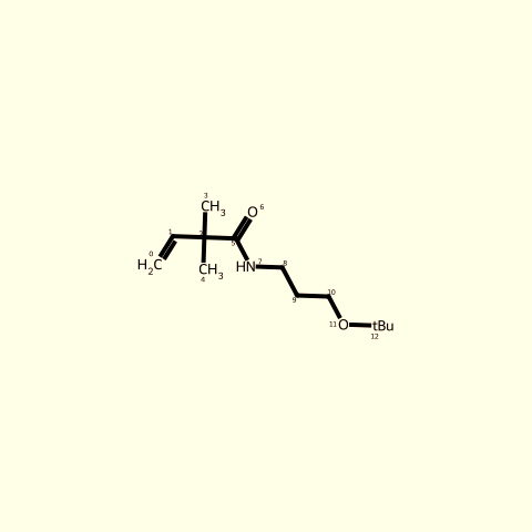 C=CC(C)(C)C(=O)NCCCOC(C)(C)C